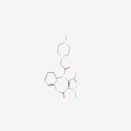 CCCCc1nn(C)c2c1N(C(=O)CN1CCN(C)CC1)c1ccccc1NC2=O